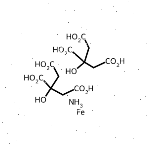 N.O=C(O)CC(O)(CC(=O)O)C(=O)O.O=C(O)CC(O)(CC(=O)O)C(=O)O.[Fe]